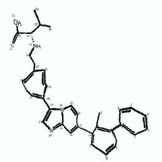 Cc1c(-c2ccccc2)cccc1-c1ccn2c(-c3ccc(CN[C@H](C(=O)O)C(C)C)cc3)cnc2c1